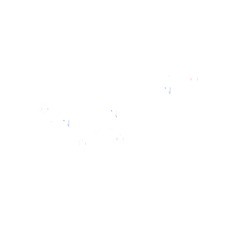 O=C1c2ccccc2C(=O)N1CC1CN(c2ccc(N3CCOCC3=O)cc2)C(=O)O1